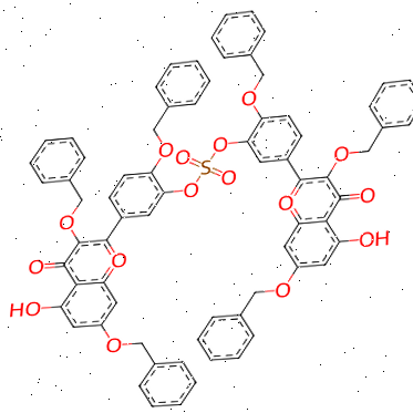 O=c1c(OCc2ccccc2)c(-c2ccc(OCc3ccccc3)c(OS(=O)(=O)Oc3cc(-c4oc5cc(OCc6ccccc6)cc(O)c5c(=O)c4OCc4ccccc4)ccc3OCc3ccccc3)c2)oc2cc(OCc3ccccc3)cc(O)c12